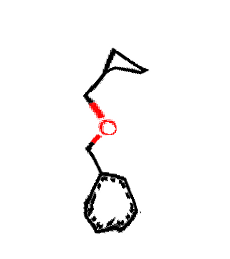 [c]1cccc(COCC2CC2)c1